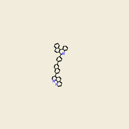 c1ccc2c(c1)ccc1c(-c3ccc(-c4ccc5cc(-c6ccnc7c6ccc6cccnc67)ccc5c4)cc3)nc3ccccc3c12